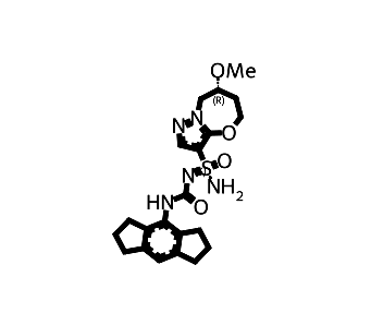 CO[C@@H]1CCOc2c([S@@](N)(=O)=NC(=O)Nc3c4c(cc5c3CCC5)CCC4)cnn2C1